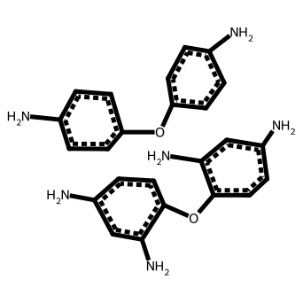 Nc1ccc(Oc2ccc(N)cc2)cc1.Nc1ccc(Oc2ccc(N)cc2N)c(N)c1